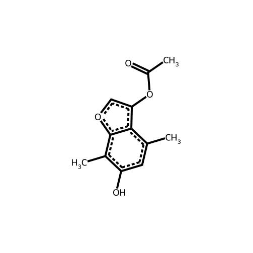 CC(=O)Oc1coc2c(C)c(O)cc(C)c12